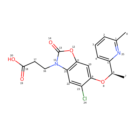 Cc1cccc([C@@H](C)Oc2cc3oc(=O)n(CCC(=O)O)c3cc2Cl)n1